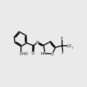 O=Cc1ccccc1C(=O)N=c1cc(C(F)(F)C(F)(F)F)o[nH]1